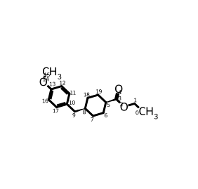 CCOC(=O)[C@H]1CC[C@@H](Cc2ccc(OC)cc2)CC1